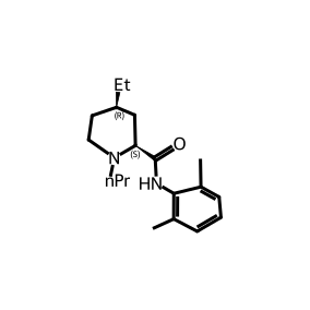 CCCN1CC[C@@H](CC)C[C@H]1C(=O)Nc1c(C)cccc1C